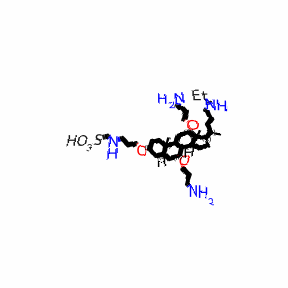 CCNCCC[C@@H](C)[C@H]1CC[C@H]2C3C(C[C@H](OCCCN)[C@]12C)[C@@]1(C)CC[C@@H](OCCCNCS(=O)(=O)O)C[C@H]1C[C@H]3OCCCN